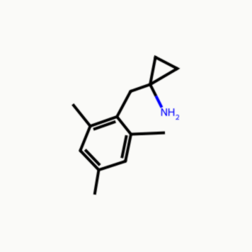 Cc1cc(C)c(CC2(N)CC2)c(C)c1